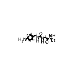 CCN(O)C(=O)CNC(=O)NCc1ccc(N)nc1